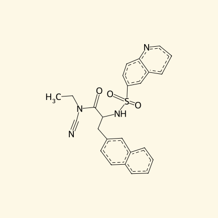 CCN(C#N)C(=O)C(Cc1ccc2ccccc2c1)NS(=O)(=O)c1ccc2ncccc2c1